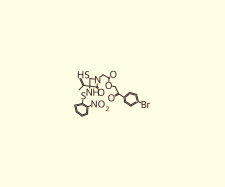 C=C(C)C1(NSc2ccccc2[N+](=O)[O-])C(=O)N(CC(=O)OCC(=O)c2ccc(Br)cc2)C1S